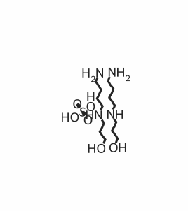 NCCCCNCCCO.NCCCCNCCCO.O=S(=O)(O)O